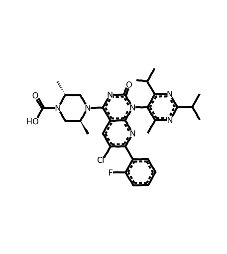 Cc1nc(C(C)C)nc(C(C)C)c1-n1c(=O)nc(N2C[C@@H](C)N(C(=O)O)C[C@@H]2C)c2cc(Cl)c(-c3ccccc3F)nc21